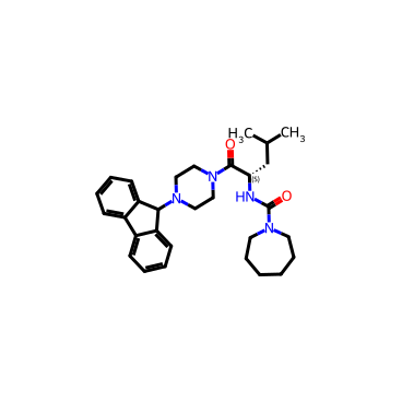 CC(C)C[C@H](NC(=O)N1CCCCCC1)C(=O)N1CCN(C2c3ccccc3-c3ccccc32)CC1